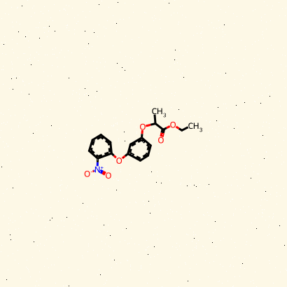 CCOC(=O)C(C)Oc1cccc(Oc2ccccc2[N+](=O)[O-])c1